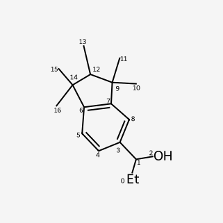 CCC(O)c1ccc2c(c1)C(C)(C)C(C)C2(C)C